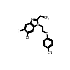 N#Cc1ccc(OCCn2c(CC(F)(F)F)nc3cc(Cl)c(Cl)cc32)cc1